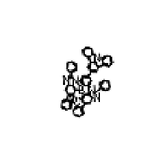 c1ccc(-c2nc3cc4c(oc5ccccc54)c4c3n2-c2cc(-c3cc5c6ccccc6n6c7ccccc7c(c3)c56)cc3c2B4c2c4oc5ccccc5c4cc4nc(-c5ccccc5)n-3c24)cc1